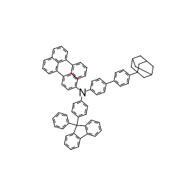 c1ccc(-c2cccc3cccc(-c4ccc(N(c5ccc(-c6ccc(C78CC9CC(CC(C9)C7)C8)cc6)cc5)c5ccc(C6(c7ccccc7)c7ccccc7-c7ccccc76)cc5)cc4)c23)cc1